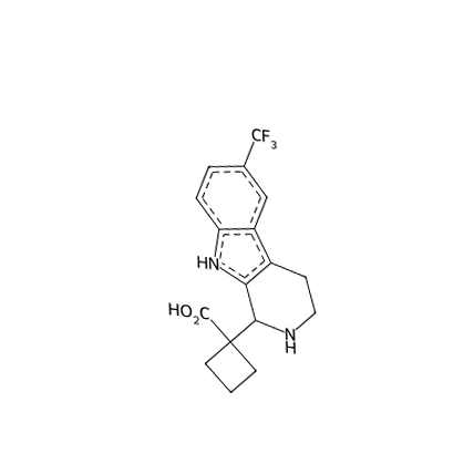 O=C(O)C1(C2NCCc3c2[nH]c2ccc(C(F)(F)F)cc32)CCC1